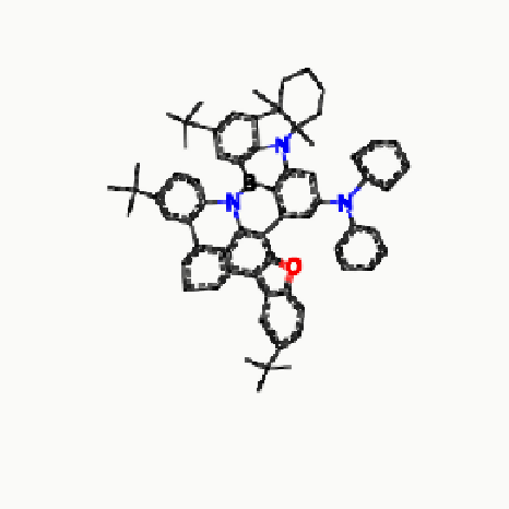 CC(C)(C)c1ccc(N2B3c4cc(C(C)(C)C)cc5c4N(c4cc(N(c6ccccc6)c6ccccc6)cc(c43)-c3c2ccc2c3oc3ccc(C(C)(C)C)cc32)C2(C)CCCCC52C)c(-c2ccccc2)c1